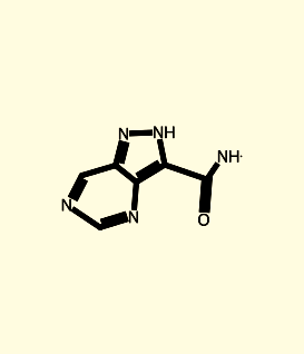 [NH]C(=O)c1[nH]nc2cncnc12